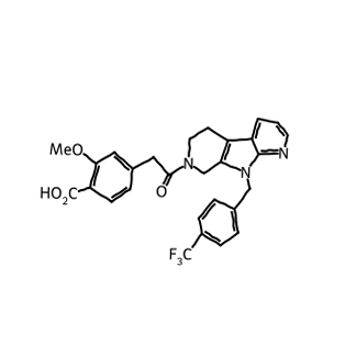 COc1cc(CC(=O)N2CCc3c(n(Cc4ccc(C(F)(F)F)cc4)c4ncccc34)C2)ccc1C(=O)O